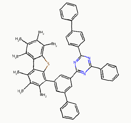 Bc1c(B)c(B)c2c(sc3c(-c4cc(-c5ccccc5)cc(-c5nc(-c6ccccc6)nc(-c6ccc(-c7ccccc7)cc6)n5)c4)c(B)c(B)c(B)c32)c1B